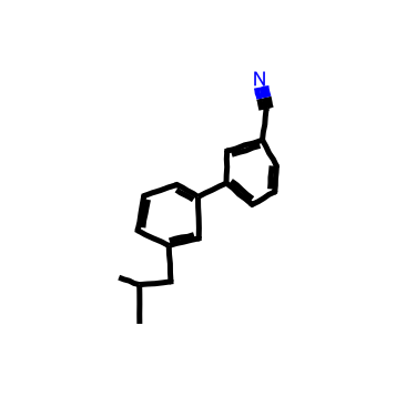 CC(C)Cc1cccc(-c2cccc(C#N)c2)c1